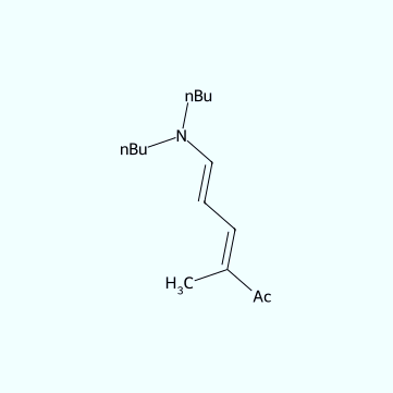 CCCCN(C=CC=C(C)C(C)=O)CCCC